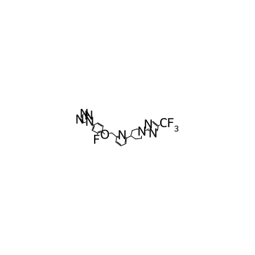 Fc1cc(-n2cnnn2)ccc1OCc1cccc(C2CCN(c3ncc(C(F)(F)F)cn3)CC2)n1